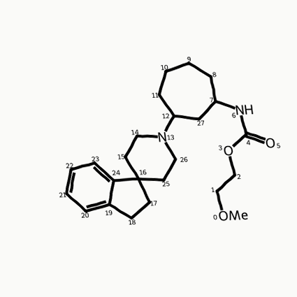 COCCOC(=O)NC1CCCCC(N2CCC3(CCc4ccccc43)CC2)C1